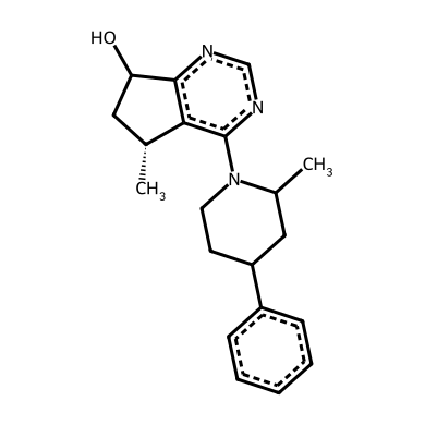 CC1CC(c2ccccc2)CCN1c1ncnc2c1[C@H](C)CC2O